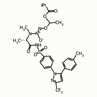 Cc1ccc(-c2cc(C(F)(F)F)nn2-c2ccc(S(=O)(=O)NC(=O)[C@H](C)N(C)[N+]([O-])=NOC(C)OC(=O)C(C)C)cc2)cc1